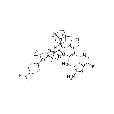 CC1(C)C(=O)O[C@H]1C(=O)N1C[C@H]2CC[C@@H](C1)N2c1nc(OCC2(CN3CCC(=C(F)F)CC3)CC2)nc2c(F)c(-c3ncc(F)c4sc(N)c(C#N)c34)c3c(c12)COC3